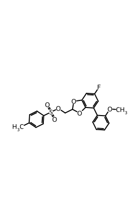 COc1ccccc1-c1cc(F)cc2c1OC(COS(=O)(=O)c1ccc(C)cc1)O2